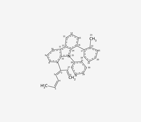 C=C/C(=C\C=C/C)c1cccc2c3cccc(-c4ccccc4C)c3n(-c3ccccc3)c12